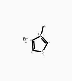 C[n+]1ccsc1.[Br-]